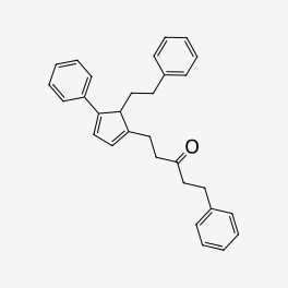 O=C(CCC1=CC=C(c2ccccc2)C1CCc1ccccc1)CCc1ccccc1